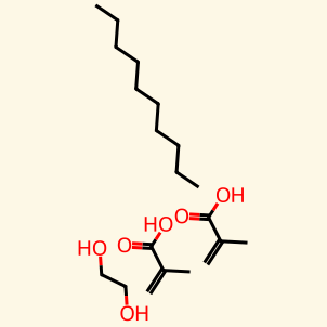 C=C(C)C(=O)O.C=C(C)C(=O)O.CCCCCCCCCC.OCCO